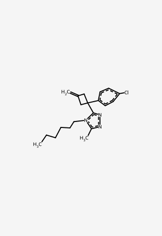 C=C1CC(c2ccc(Cl)cc2)(c2nnc(C)n2CCCCCC)C1